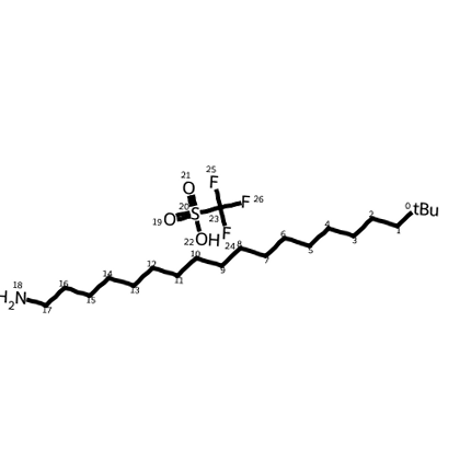 CC(C)(C)CCCCCCCCCCCCCCCCCN.O=S(=O)(O)C(F)(F)F